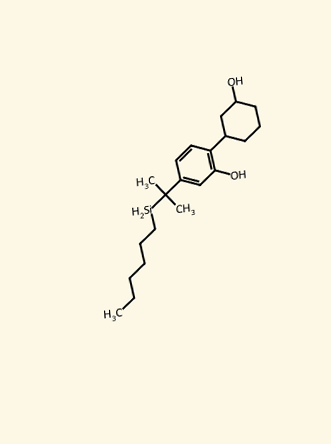 CCCCCC[SiH2]C(C)(C)c1ccc(C2CCCC(O)C2)c(O)c1